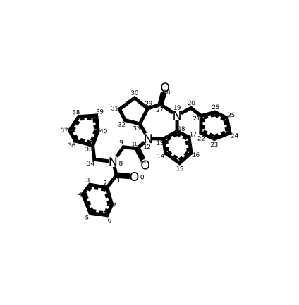 O=C(c1ccccc1)N(CC(=O)N1c2ccccc2N(Cc2ccccc2)C(=O)C2CCCC21)Cc1ccccc1